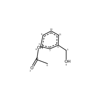 CC(=O)O.OCc1ccccc1